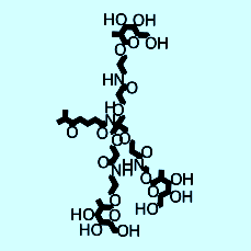 CC(C)C(=O)CCCC(=O)NC(COCCC(=O)NCCCO[C@@H]1OC(CO)[C@H](O)[C@H](O)C1C)(COCCC(=O)NCCCO[C@@H]1OC(CO)[C@H](O)[C@H](O)C1C)COCCC(=O)NCO[C@@H]1OC(CO)[C@H](O)[C@H](O)C1C